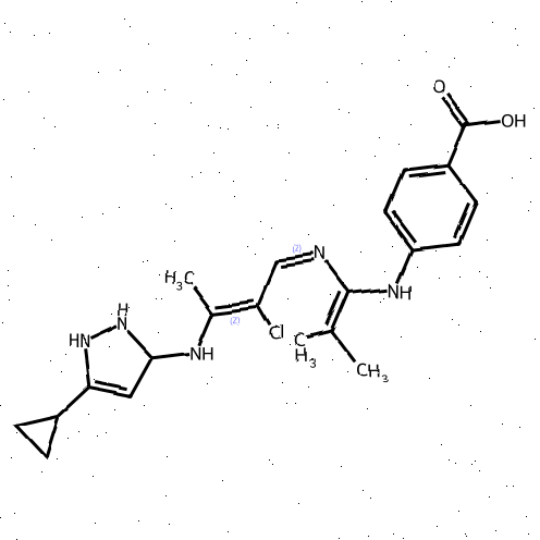 CC(C)=C(/N=C\C(Cl)=C(/C)NC1C=C(C2CC2)NN1)Nc1ccc(C(=O)O)cc1